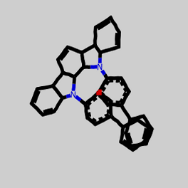 C1=CCC(c2ccc(N3C4C=CC=CC4C4C=CC5C6C=CC=CC6N(c6ccc(C7C=CC=CC7)cc6)C5C43)cc2)C=C1